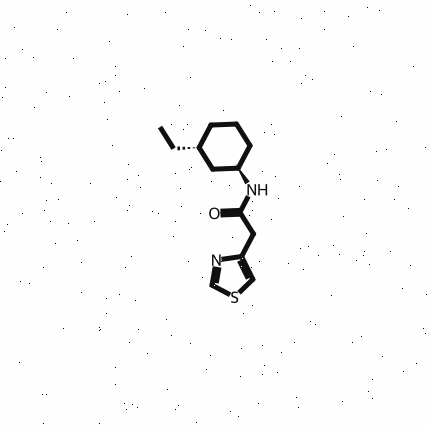 CC[C@@H]1CCC[C@@H](NC(=O)Cc2cscn2)C1